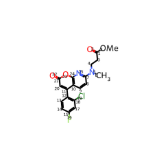 COC(=O)CCN(C)c1ccc2c(-c3ccc(F)cc3Cl)cc(=O)oc2n1